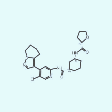 O=C(Nc1cc(-c2cnn3c2CCCC3)c(Cl)cn1)[C@H]1CCC[C@@H](NC(=O)[C@@H]2CCCO2)C1